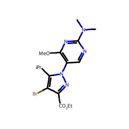 CCOC(=O)c1nn(-c2cnc(N(C)C)nc2OC)c(C(C)C)c1Br